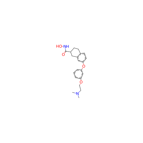 CN(C)CCOc1cccc(Oc2ccc3c(c2)CC(C(=O)NO)CC3)c1